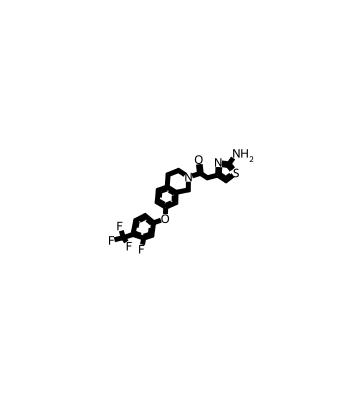 Nc1nc(CC(=O)N2CCc3ccc(Oc4ccc(C(F)(F)F)c(F)c4)cc3C2)cs1